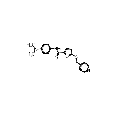 CN(C)c1ccc(NC(=O)c2ccc(SCc3ccncc3)o2)cc1